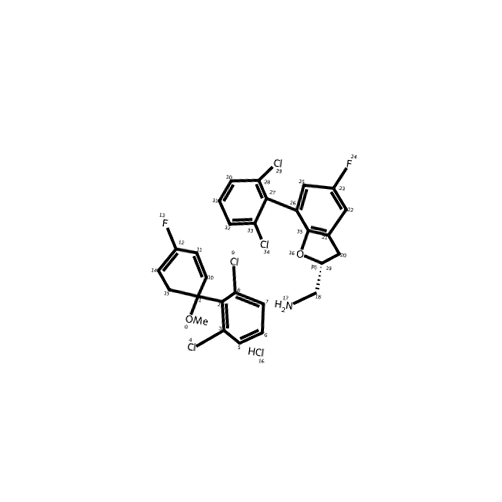 COC1(c2c(Cl)cccc2Cl)C=CC(F)=CC1.Cl.NC[C@H]1Cc2cc(F)cc(-c3c(Cl)cccc3Cl)c2O1